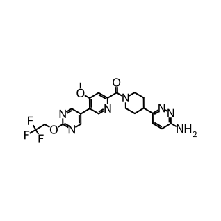 COc1cc(C(=O)N2CCC(c3ccc(N)nn3)CC2)ncc1-c1cnc(OCC(F)(F)F)nc1